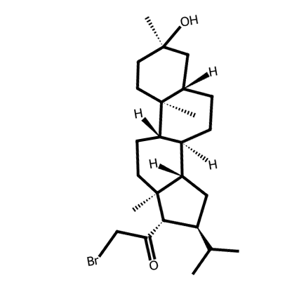 CC(C)[C@@H]1C[C@H]2[C@@H]3CC[C@H]4C[C@](C)(O)CC[C@]4(C)[C@H]3CC[C@]2(C)[C@H]1C(=O)CBr